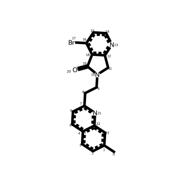 Cc1ccc2ccc(CCN3Cc4nccc(Br)c4C3=O)nc2c1